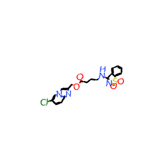 O=C(CCCNC1=NS(=O)(=O)c2ccccc21)OCc1cn2cc(Cl)ccc2n1